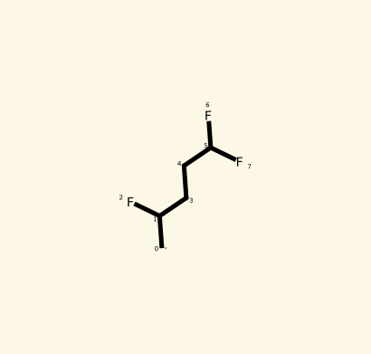 [CH2]C(F)CCC(F)F